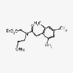 CCOC(=O)CN(CCOC)C(=O)Cc1c(C)cc(C)cc1C